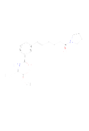 COC(=O)C(C)NC(=O)c1cccc(/C=C/CCCC(=O)N2CCCC2)c1